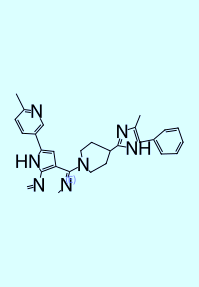 C=Nc1[nH]c(-c2ccc(C)nc2)cc1/C(=N\C)N1CCC(c2nc(C)c(-c3ccccc3)[nH]2)CC1